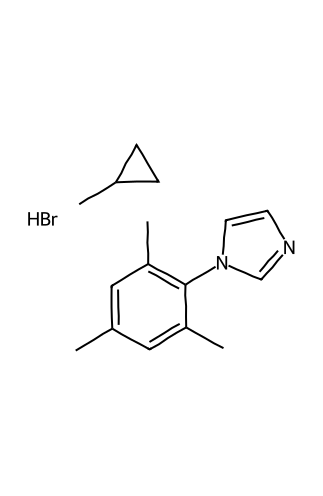 Br.CC1CC1.Cc1cc(C)c(-n2ccnc2)c(C)c1